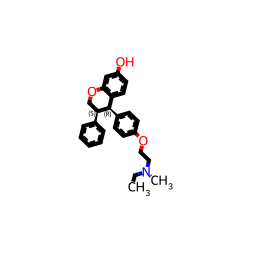 CCN(C)CCOc1ccc([C@@H]2c3ccc(O)cc3OC[C@@H]2c2ccccc2)cc1